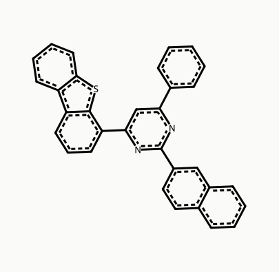 c1ccc(-c2cc(-c3cccc4c3sc3ccccc34)nc(-c3ccc4ccccc4c3)n2)cc1